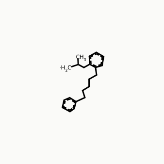 [CH2]C(C)Cc1ccccc1CCCCCc1ccccc1